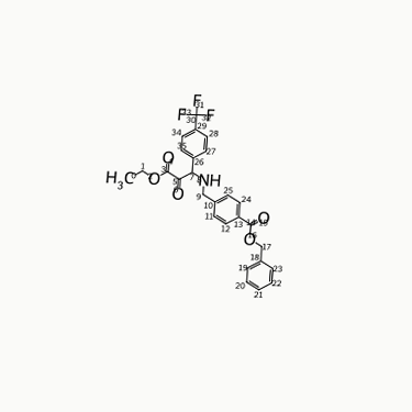 CCOC(=O)C(=O)C(NCc1ccc(C(=O)OCc2ccccc2)cc1)c1ccc(C(F)(F)F)cc1